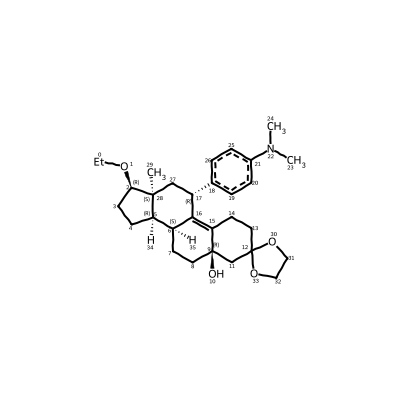 CCO[C@@H]1CC[C@@H]2[C@@H]3CC[C@@]4(O)CC5(CCC4=C3[C@@H](c3ccc(N(C)C)cc3)C[C@@]21C)OCCO5